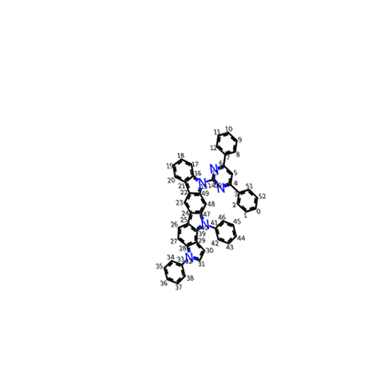 c1ccc(-c2cc(-c3ccccc3)nc(-n3c4ccccc4c4cc5c6ccc7c(ccn7-c7ccccc7)c6n(-c6ccccc6)c5cc43)n2)cc1